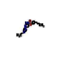 C=CCN1CCN(c2ccc(NS(=O)(=O)c3ccc(CCCC)cc3)cn2)CC1